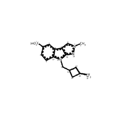 Cn1cc2c3cc(C(=O)O)ccc3n(CC3CC(C(F)(F)F)C3)c2n1